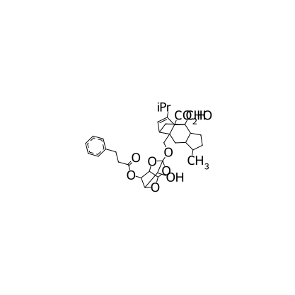 CC(C)C1=CC2CC3(C=O)C4CCC(C)C4CC2(COC24OC5OC(C(OC(=O)CCc6ccccc6)C5O2)C4O)C13C(=O)O